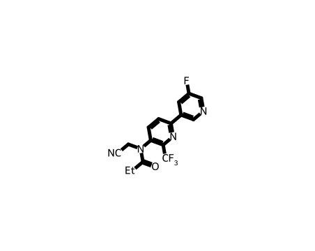 CCC(=O)N(CC#N)c1ccc(-c2cncc(F)c2)nc1C(F)(F)F